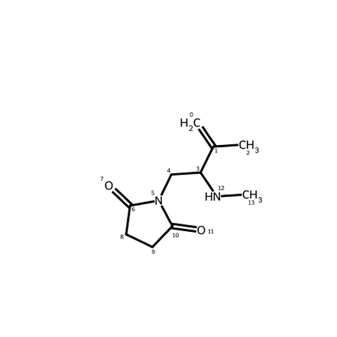 C=C(C)C(CN1C(=O)CCC1=O)NC